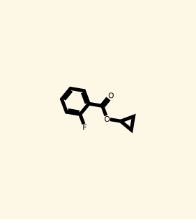 O=C(OC1CC1)c1ccccc1F